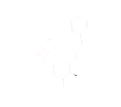 CCCCOP(=O)(OCCCC)O[C@@H]1OC(COCc2ccccc2)[C@@H](C)C(C)[C@@H]1C